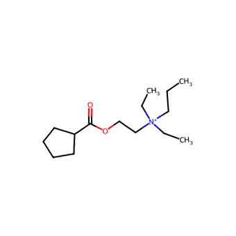 CCC[N+](CC)(CC)CCOC(=O)C1CCCC1